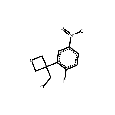 O=[N+]([O-])c1ccc(F)c(C2(CCl)COC2)c1